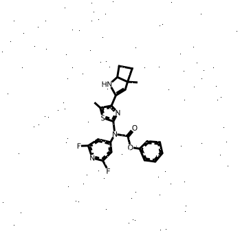 Cc1sc(N(C(=O)Oc2ccccc2)c2cc(F)nc(F)c2)nc1C1=CC2(C)CCC2N1